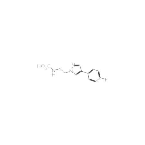 O=C(O)NCCn1cc(-c2ccc(F)cc2)cn1